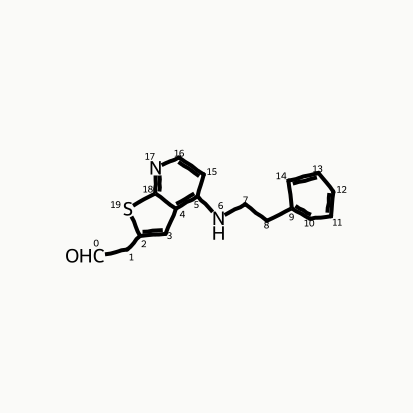 O=CCc1cc2c(NCCc3ccccc3)ccnc2s1